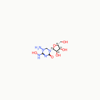 NN1CN([C@@H]2O[C@H](CO)[C@@H](O)[C@H]2O)C(=O)N=C1NO